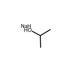 CC(C)O.[NaH]